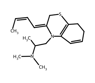 C/C=C\C=C1/CSC2=C(C=CCC2)N1CC(C)N(C)C